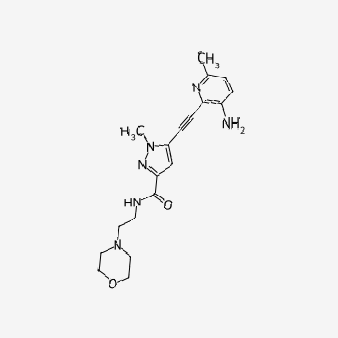 Cc1ccc(N)c(C#Cc2cc(C(=O)NCCN3CCOCC3)nn2C)n1